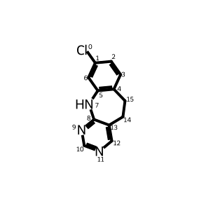 Clc1ccc2c(c1)Nc1ncncc1CC2